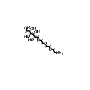 NCCOCCOCC/N=C/[C@H](O)[C@@H](O)[C@@H](O)[C@@H](O)CO